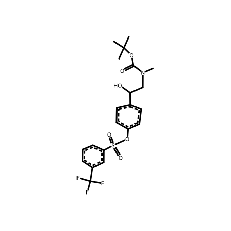 CN(CC(O)c1ccc(OS(=O)(=O)c2cccc(C(F)(F)F)c2)cc1)C(=O)OC(C)(C)C